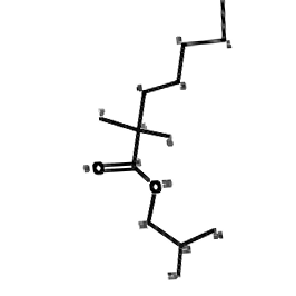 CCCCCC(C)(C)C(=O)OCC(C)C